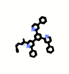 C#C/C=C\C=C(/C)c1cc(-c2cc(-c3cc(C4=CC=CCC4)ccn3)cc(-c3cc(-c4ccccc4)ccn3)c2)cc(C2=CCCC=C2)n1